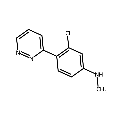 CNc1ccc(-c2cccnn2)c(Cl)c1